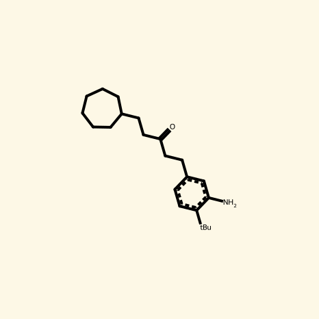 CC(C)(C)c1ccc(CCC(=O)CCC2CCCCCC2)cc1N